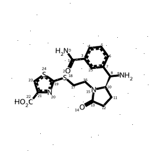 NC(=O)c1cccc(C(N)[C@H]2CCC(=O)N2CCSc2nc(C(=O)O)cs2)c1